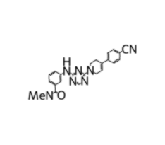 CNC(=O)c1cccc(Nc2ncnc(N3CC=C(c4ccc(C#N)cc4)CC3)n2)c1